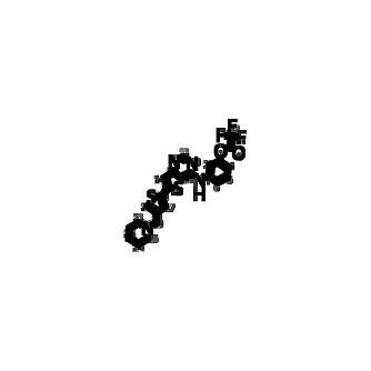 O=C(Oc1cccc(Nc2ncnc3cc(-c4cc(CN5CCCCC5)cs4)sc23)c1)C(F)(F)F